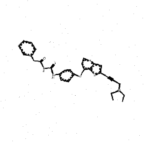 CCN(CC)CC#Cc1cc2nccc(Oc3ccc(NC(=S)NC(=O)Cc4ccccc4)cc3)c2s1